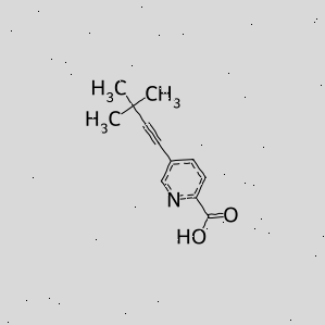 CC(C)(C)C#Cc1ccc(C(=O)O)nc1